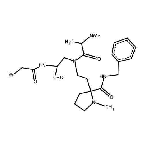 CNC(C)C(=O)N(CCC1(C(=O)NCc2ccccc2)CCCN1C)CC(C=O)NC(=O)CC(C)C